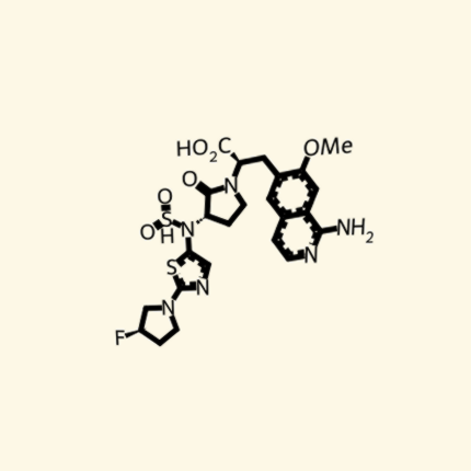 COc1cc2c(N)nccc2cc1C[C@H](C(=O)O)N1CC[C@H](N(c2cnc(N3CC[C@@H](F)C3)s2)[SH](=O)=O)C1=O